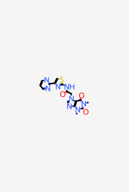 Cn1c(=O)c2c(ncn2CC(=O)Nc2nc(-c3ncccn3)cs2)n(C)c1=O